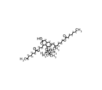 CCCCCCC(=O)OCCCCC(C)CN(CCCC(=O)O)CC(CCCCOC(=O)CCCCCC)O[Si](C)(C)C(C)(C)C